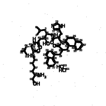 CC(C)CC(NC(=O)C(Cc1cnc[nH]1)NC(=O)C(Cc1cccc2ccccc12)Cc1cccc2ccccc12)[C@@H](O)CC(=O)N[C@@H](CC(C)C)C(=O)NCCCC[C@H](N)CO.Cl.Cl